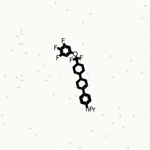 CCCc1ccc(C2=CCC(C3CCC(C(F)(F)Oc4cc(F)c(F)c(F)c4)CC3)CC2)cc1